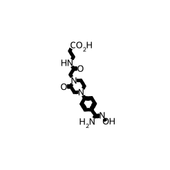 NC(=NO)c1ccc(N2CCN(CC(=O)NCCC(=O)O)C(=O)C2)cc1